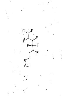 CC(=O)SCCC(F)C(F)(F)C(F)C(F)C(F)F